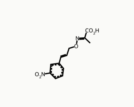 CC(=NOC/C=C/c1cccc([N+](=O)[O-])c1)C(=O)O